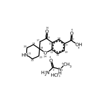 CNC(N)=O.Cl.O=C(O)c1ccc2c(c1)C(=O)CC1(CCNCC1)O2